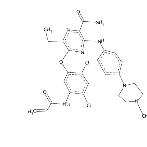 C=CC(=O)Nc1cc(Oc2nc(Nc3ccc(N4CCN(C)CC4)cc3)c(C(N)=O)nc2CC)c(Cl)cc1Cl